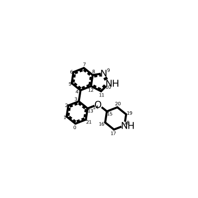 c1ccc(-c2cccc3n[nH]cc23)c(OC2CCNCC2)c1